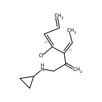 C=C/C=C(Cl)\C(=C/C)C(=C)CNC1CC1